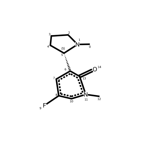 CN1CCC[C@H]1c1cc(F)cn(C)c1=O